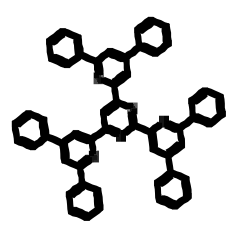 c1ccc(-c2cc(-c3ccccc3)nc(-c3cc(-c4cc(-c5ccccc5)cc(-c5ccccc5)n4)nc(-c4cc(-c5ccccc5)cc(-c5ccccc5)n4)n3)c2)cc1